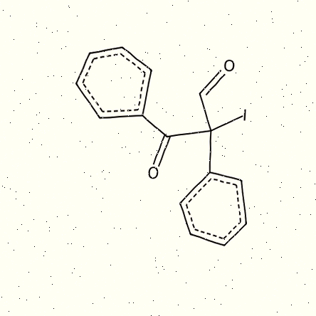 O=CC(I)(C(=O)c1ccccc1)c1ccccc1